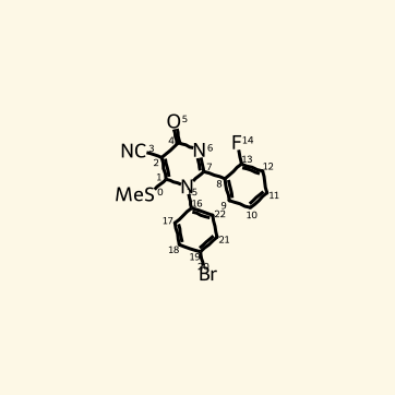 CSc1c(C#N)c(=O)nc(-c2ccccc2F)n1-c1ccc(Br)cc1